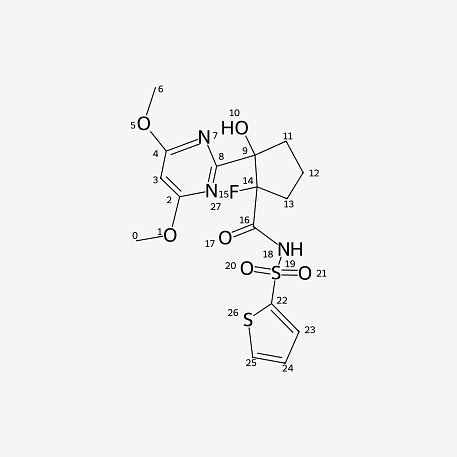 COc1cc(OC)nc(C2(O)CCCC2(F)C(=O)NS(=O)(=O)c2cccs2)n1